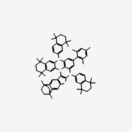 Cc1cc(C)c(-c2cc3c4c(c2)N(c2ccc5c(c2)C(C)(C)CCC5(C)C)c2sc5cc6c(cc5c2B4c2cc4c(cc2N3c2ccc3c(c2)C(C)(C)CCC3(C)C)C(C)(C)CCC4(C)C)C2(C)CCC6(C)CC2)c(C)c1